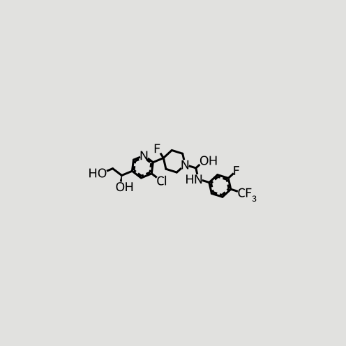 OC[C@H](O)c1cnc(C2(F)CCN(C(O)Nc3ccc(C(F)(F)F)c(F)c3)CC2)c(Cl)c1